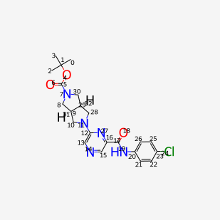 CC(C)(C)OC(=O)N1C[C@@H]2CN(c3cncc(C(=O)Nc4ccc(Cl)cc4)n3)C[C@@H]2C1